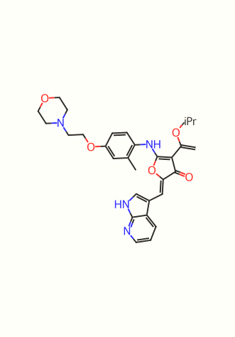 C=C(OC(C)C)C1=C(Nc2ccc(OCCN3CCOCC3)cc2C)O/C(=C\c2c[nH]c3ncccc23)C1=O